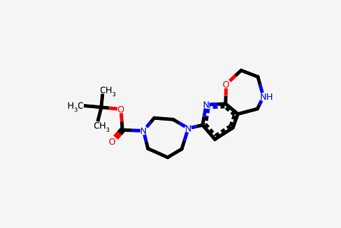 CC(C)(C)OC(=O)N1CCCN(c2ccc3c(n2)OCCNC3)CC1